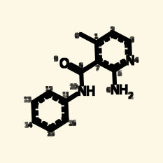 Cc1ccnc(N)c1C(=O)Nc1ccccc1